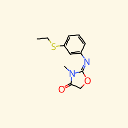 CCSc1cccc(N=C2OCC(=O)N2C)c1